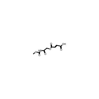 COC(=O)NC(=O)COC(=O)C=CC(=O)O